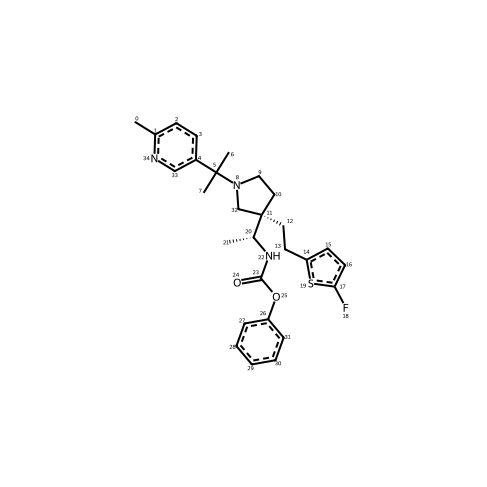 Cc1ccc(C(C)(C)N2CC[C@@](CCc3ccc(F)s3)([C@@H](C)NC(=O)Oc3ccccc3)C2)cn1